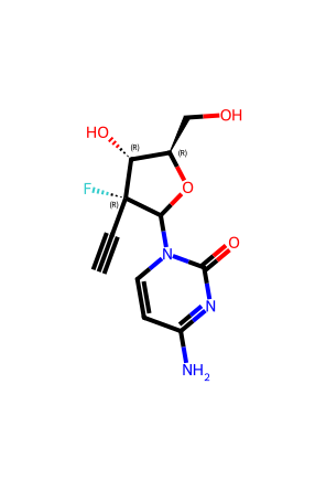 C#C[C@]1(F)C(n2ccc(N)nc2=O)O[C@H](CO)[C@H]1O